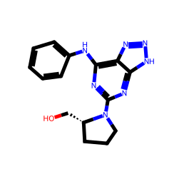 OC[C@H]1CCCN1c1nc(Nc2ccccc2)c2nn[nH]c2n1